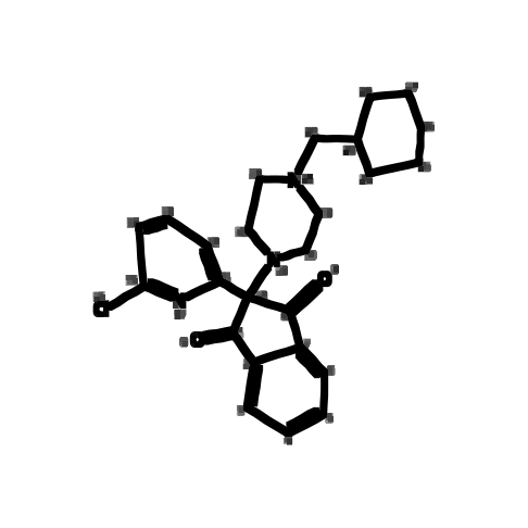 O=C1c2ccccc2C(=O)C1(c1cccc(Cl)n1)N1CCN(CC2CCCCC2)CC1